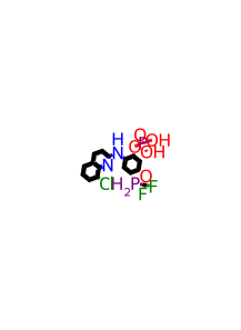 O=P(O)(O)Oc1cc(OC(F)(F)P)ccc1Nc1ccc2cccc(Cl)c2n1